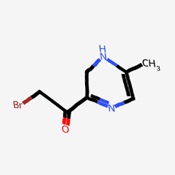 CC1=CN=C(C(=O)CBr)CN1